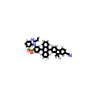 CCc1nc2cccc3c2n1-c1cc(-c2c4ccccc4c(-c4ccc5c(c4)C(C)(C)c4cc(C#N)ccc4-5)c4ccccc24)ccc1S3(=O)=O